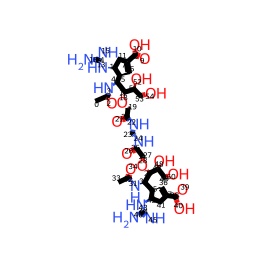 CC(=O)N[C@@H]([C@@H]1C=C(C(=O)O)C[C@H]1NC(=N)N)[C@@H](OCC(=O)NCNC(=O)CO[C@H]([C@@H](NC(C)=O)[C@@H]1C=C(C(=O)O)C[C@H]1NC(=N)N)[C@@H](O)CO)[C@@H](O)CO